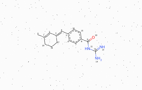 CC1=C/C(=C/c2ccc(C(=O)NC(=N)N)cc2)CCC1